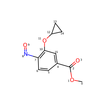 COC(=O)c1ccc(N=O)c(OC2CC2)c1